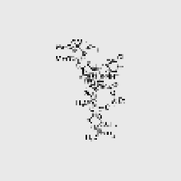 CC[C@H]1CCC[C@H](O[C@H]2CC[C@H](N(C)C)C(C)O2)[C@@H](C)C(=O)C2=C[C@H]3[C@@H]4C[C@H](O[C@@H]5OC(C)[C@H](OC)C(OC)C5OC)C[C@H]4C[C@H](Nc4ccc(Cl)cc4)[C@H]3[C@@H]2CC(=O)O1